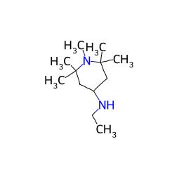 CCNC1CC(C)(C)N(C)C(C)(C)C1